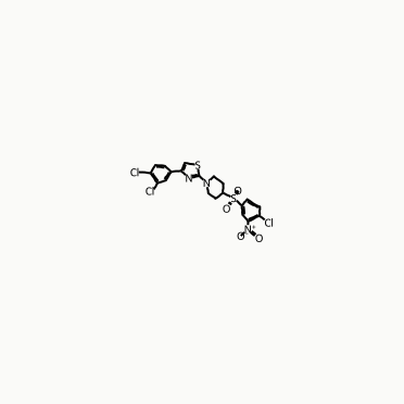 O=[N+]([O-])c1cc(S(=O)(=O)C2CCN(c3nc(-c4ccc(Cl)c(Cl)c4)cs3)CC2)ccc1Cl